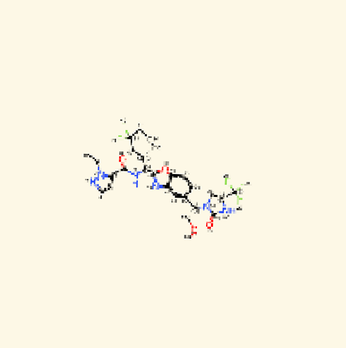 CCn1nccc1C(=O)N[C@H](c1nc2cc([C@@H](COC)N3C[C@@H](C(F)(F)F)NC3=O)ccc2o1)[C@H]1CCCC(F)(F)C1